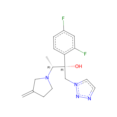 C=C1CCN([C@H](C)[C@](O)(Cn2ccnn2)c2ccc(F)cc2F)C1